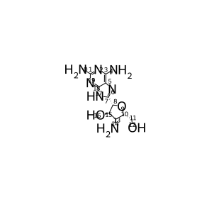 Nc1nc(N)c2nc([C@@H]3O[C@H](CO)[C@@H](N)[C@H]3O)[nH]c2n1